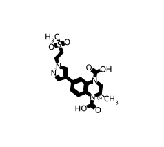 C[C@H]1CN(C(=O)O)c2cc(-c3cnn(CCS(C)(=O)=O)c3)ccc2N1C(=O)O